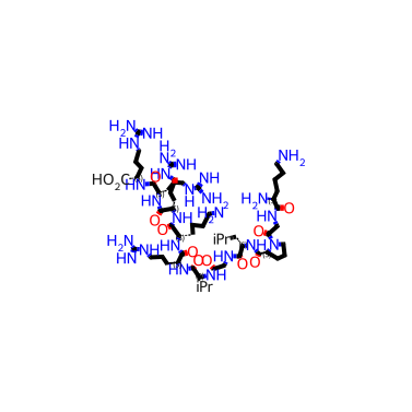 CC(C)C[C@H](NC(=O)[C@@H]1CCCN1C(=O)CNC(=O)[C@@H](N)CCCCN)C(=O)NCC(=O)N[C@H](C(=O)N[C@@H](CCCNC(=N)N)C(=O)N[C@@H](CCCCN)C(=O)N[C@@H](CCCNC(=N)N)C(=O)N[C@@H](CCCNC(=N)N)C(=O)N[C@@H](CCCNC(=N)N)C(=O)O)C(C)C